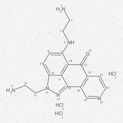 Cl.Cl.Cl.NCCNc1ccc2c3c(nn2CCN)-c2cnccc2C(=O)c13